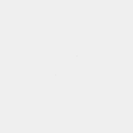 CC(C)=C/C=C/C(=O)CCC(=O)/C=C/C=C(C)C